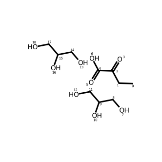 CCC(=O)C(=O)O.OCC(O)CO.OCC(O)CO